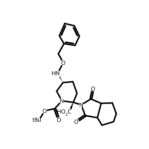 CC(C)(C)OC(=O)N1C[C@H](NOCc2ccccc2)CC[C@]1(C(=O)O)N1C(=O)C2CCCCC2C1=O